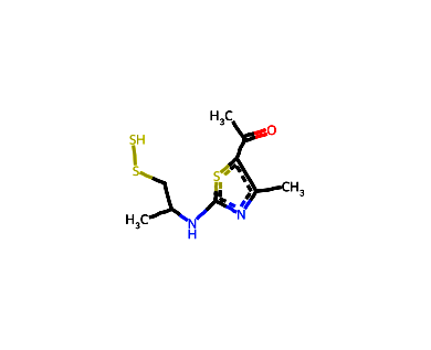 CC(=O)c1sc(NC(C)CSS)nc1C